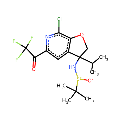 CC(C)C1(N[S+]([O-])C(C)(C)C)COc2c1cc(C(=O)C(F)(F)F)nc2Cl